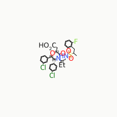 CC[C@@H](CNS(=O)(=O)C(C)Cc1ccccc1F)N1C(=O)[C@H](CC(=O)O)O[C@H](c2cccc(Cl)c2)[C@H]1c1ccc(Cl)cc1